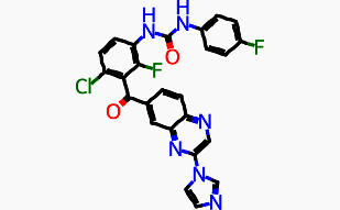 O=C(Nc1ccc(F)cc1)Nc1ccc(Cl)c(C(=O)c2ccc3ncc(-n4ccnc4)nc3c2)c1F